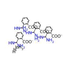 N=C(N)c1ccccc1C(=O)[O-].N=C(N)c1ccccc1C(=O)[O-].N=C(N)c1ccccc1C(=O)[O-].N=C(N)c1ccccc1C(=O)[O-].[H-].[H-].[InH3]